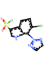 O=S(=O)(Cl)c1c[nH]c2c(-n3nccn3)c(Cl)ccc12